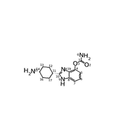 NC(=O)Oc1cccc2[nH]c([C@H]3CC[C@@H](N)CC3)nc12